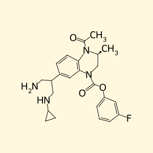 CC(=O)N1c2ccc(C(CN)CNC3CC3)cc2N(C(=O)Oc2cccc(F)c2)C[C@@H]1C